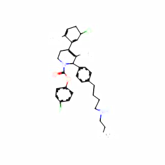 COCCNCCCCc1ccc(C2C(C)=C(C3=CC(Cl)CC=C3C)CCN2C(=O)Oc2ccc(F)cc2)cc1